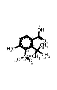 Cc1ccc(C(=O)O)c(C(C)(C)C)c1[N+](=O)[O-]